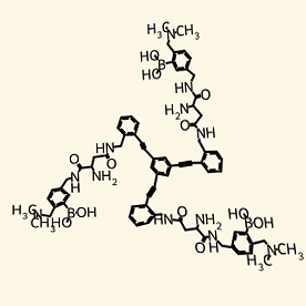 CN(C)Cc1ccc(CNC(=O)C(N)CC(=O)NCc2ccccc2C#Cc2cc(C#Cc3ccccc3CNC(=O)CC(N)C(=O)NCc3ccc(CN(C)C)c(B(O)O)c3)cc(C#Cc3ccccc3CNC(=O)CC(N)C(=O)NCc3ccc(CN(C)C)c(B(O)O)c3)c2)cc1B(O)O